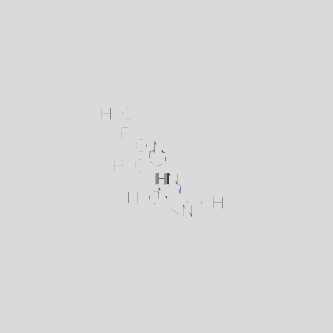 CCC1=NC=CC(NC)/C1=C\NCc1cnc(OCC(F)CC)c(C)c1